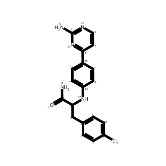 NC(=O)C(Cc1ccc(Cl)cc1)Nc1ccc(-c2ccnc(N)n2)cc1